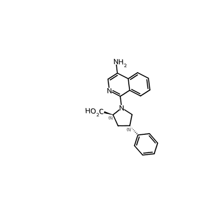 Nc1cnc(N2C[C@H](c3ccccc3)C[C@H]2C(=O)O)c2ccccc12